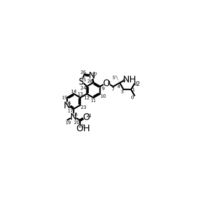 CC(C)C[C@](C)(N)COc1ccc(-c2ccnc(N(C)C(=O)O)c2)c2scnc12